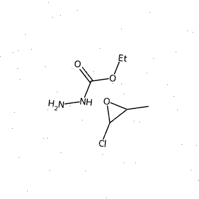 CC1OC1Cl.CCOC(=O)NN